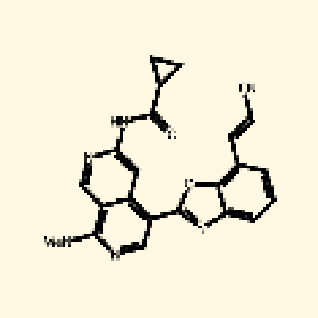 CNc1ncc(-c2nc3cccc(C=CC#N)c3o2)c2cc(NC(=O)C3CC3)ncc12